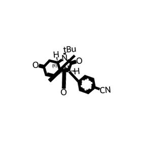 C=C1C(=O)N(c2ccc(C#N)cc2)[C@H]2C(=O)N(C(C)(C)C)[C@@H]3CC(=O)C=C[C@]123